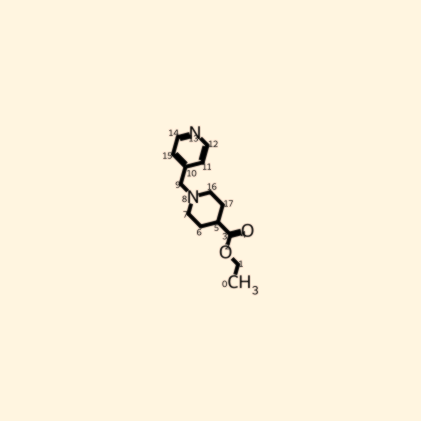 CCOC(=O)C1CCN(Cc2ccncc2)CC1